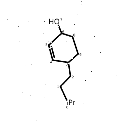 CC(C)CCC1C=CC(O)CC1